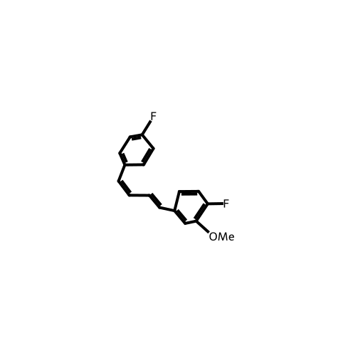 COc1cc(/C=C/C=C\c2ccc(F)cc2)ccc1F